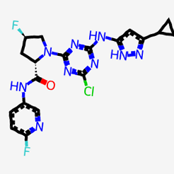 O=C(Nc1ccc(F)nc1)[C@@H]1C[C@@H](F)CN1c1nc(Cl)nc(Nc2cc(C3CC3)n[nH]2)n1